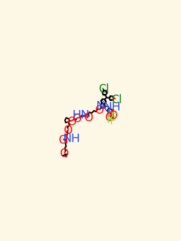 CC(C)(C)OCCCCCC(=O)NCCCOCCC1CCCCC1OCCOCCCNC(=O)CCCCCOc1cc(NC2CCN(S(=O)(=O)C(F)(F)F)CC2)c2cc(C(c3ccc(Cl)cc3)c3ccc(Cl)cc3)ccc2n1